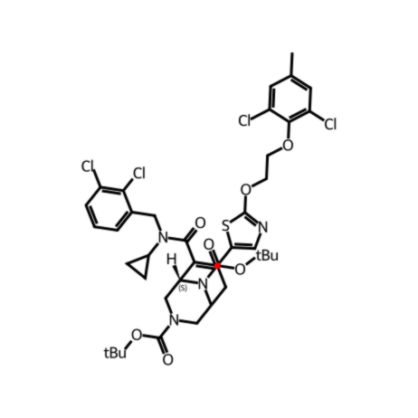 Cc1cc(Cl)c(OCCOc2ncc(C3=C(C(=O)N(Cc4cccc(Cl)c4Cl)C4CC4)[C@H]4CN(C(=O)OC(C)(C)C)CC(C3)N4C(=O)OC(C)(C)C)s2)c(Cl)c1